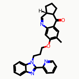 Cc1cc2c(cc1OCCCn1c(-c3ccccn3)nc3ccccc31)N=C[C@@H]1CCCC1C2=O